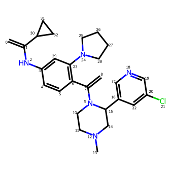 C=C(Nc1ccc(C(=C)N2CCN(C)CC2c2cncc(Cl)c2)c(N2CCCC2)c1)C1CC1